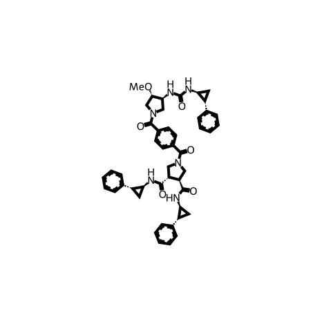 CO[C@H]1CN(C(=O)c2ccc(C(=O)N3C[C@@H](C(=O)N[C@H]4C[C@@H]4c4ccccc4)[C@H](C(=O)N[C@H]4C[C@@H]4c4ccccc4)C3)cc2)C[C@@H]1NC(=O)N[C@H]1C[C@@H]1c1ccccc1